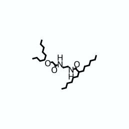 CCCCCCC(CCCCCC)C(=O)NCCNC(=O)COC(CCC)CCCCC